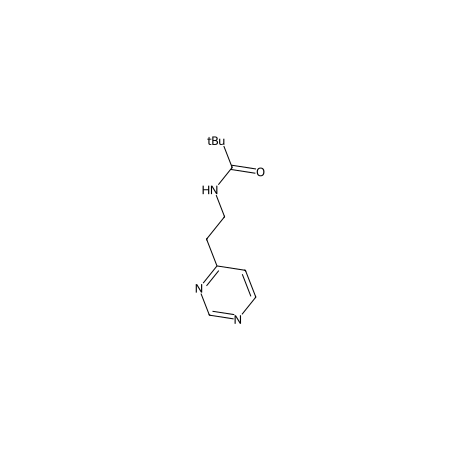 CC(C)(C)C(=O)NCCc1ccncn1